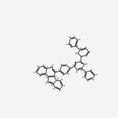 C1=CC(c2cc(-c3ccc(-c4nc5ccccc5c5nc6ccccn6c45)cc3)nc(-c3ccccc3)n2)CC(c2ccccc2)=C1